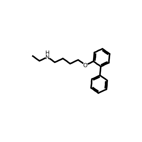 CCNCCCCOc1ccccc1-c1ccccc1